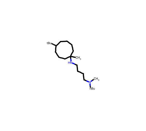 CCCCN(C)CCCCNC1(C)CCCCC(C(C)(C)C)CCC1